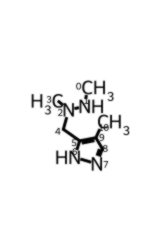 CNN(C)Cc1[nH]ncc1C